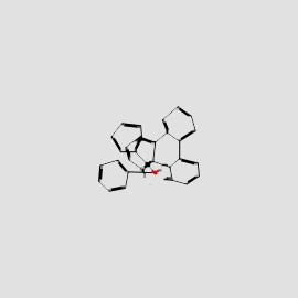 Brc1cccc2c1C13CC(c4ccccc4)(c4ccccc4)CC=C1C=CC=C3c1ccccc1-2